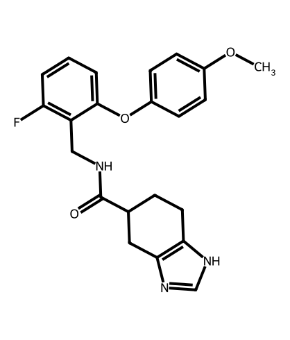 COc1ccc(Oc2cccc(F)c2CNC(=O)C2CCc3[nH]cnc3C2)cc1